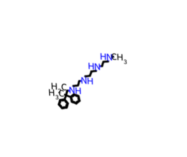 C=C(NCCCNCCCCNCCCNC)C(C)(c1ccccc1)c1ccccc1